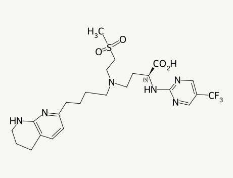 CS(=O)(=O)CCN(CCCCc1ccc2c(n1)NCCC2)CC[C@H](Nc1ncc(C(F)(F)F)cn1)C(=O)O